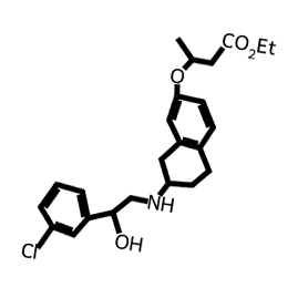 CCOC(=O)CC(C)Oc1ccc2c(c1)CC(NCC(O)c1cccc(Cl)c1)CC2